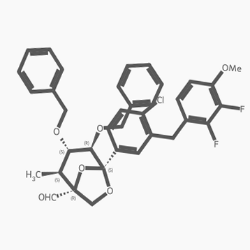 COc1ccc(Cc2cc([C@]34OC[C@](C=O)(O3)[C@@H](C)[C@H](OCc3ccccc3)[C@H]4OCc3ccccc3)ccc2Cl)c(F)c1F